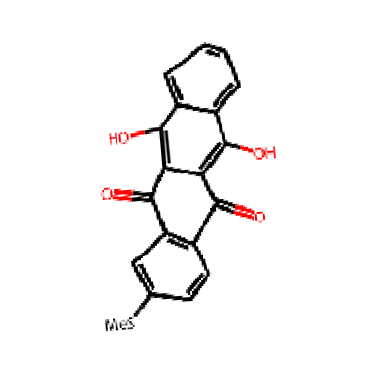 CSc1ccc2c(c1)C(=O)c1c(c(O)c3ccccc3c1O)C2=O